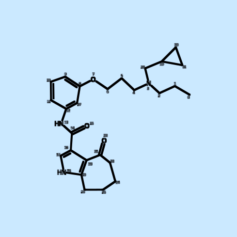 CCCN(CCCOc1cccc(NC(=O)c2c[nH]c3c2C(=O)CCCC3)c1)CC1CC1